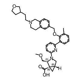 COC[C@H]1N(c2cccc(-c3cccc(C)c3OCc3ccc4c(c3)CCN(CCC3CCOC3)C4)n2)C[C@@H]2C[C@@]21C(=O)O